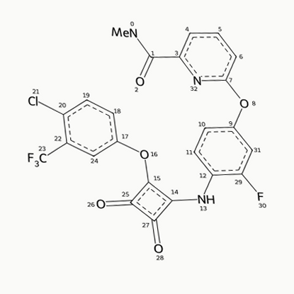 CNC(=O)c1cccc(Oc2ccc(Nc3c(Oc4ccc(Cl)c(C(F)(F)F)c4)c(=O)c3=O)c(F)c2)n1